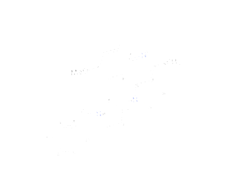 COc1ccc2nc(C)c3c(c2c1)N(C1CCN(Cc2ccccc2)C1)CC3